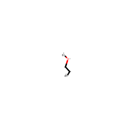 C[CH]OCCC(C)C